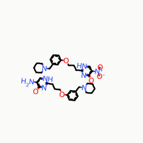 Nc1c[nH]c(CCCOc2cccc(CN3CCCCC3)c2)nc1=O.O=c1nc(CCCOc2cccc(CN3CCCCC3)c2)[nH]cc1[N+](=O)[O-]